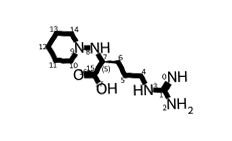 N=C(N)NCCC[C@H](NN1CCCCC1)C(=O)O